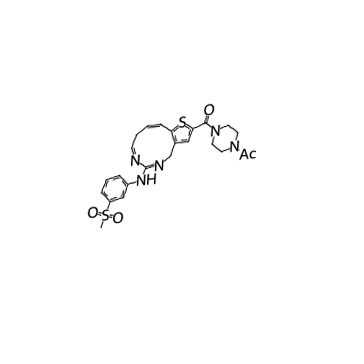 CC(=O)N1CCN(C(=O)c2cc3c(s2)/C=C\C/C=N\C(Nc2cccc(S(C)(=O)=O)c2)=N/C3)CC1